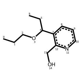 CCCOC(CC)c1cccnc1CO